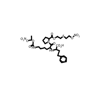 CC(OC(=O)NCCCCC(NC(CCc1ccccc1)C(=O)O)C(=O)N1CCCC1C(=O)OCCSCCO[N+](=O)[O-])O[N+](=O)[O-]